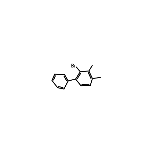 Cc1ccc(-c2ccccc2)c(Br)c1C